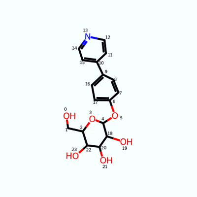 OCC1OC(Oc2ccc(-c3ccncc3)cc2)C(O)C(O)C1O